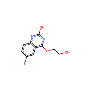 OCCOc1nc(O)nc2ccc(Br)cc12